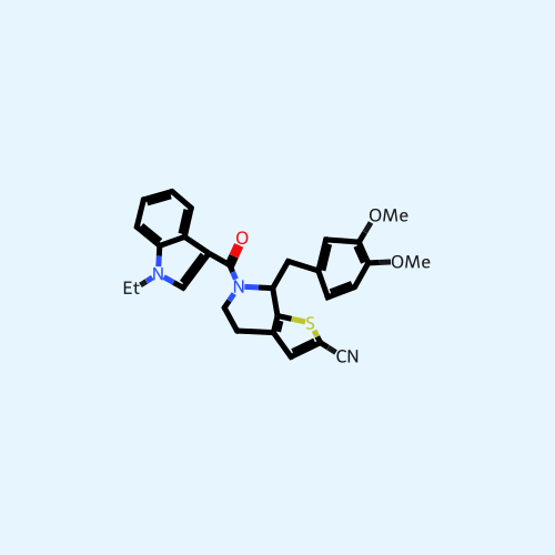 CCn1cc(C(=O)N2CCc3cc(C#N)sc3C2Cc2ccc(OC)c(OC)c2)c2ccccc21